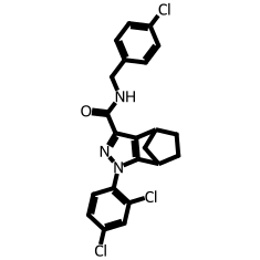 O=C(NCc1ccc(Cl)cc1)c1nn(-c2ccc(Cl)cc2Cl)c2c1C1CCC2C1